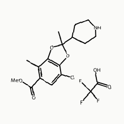 COC(=O)c1cc(Cl)c2c(c1C)OC(C)(C1CCNCC1)O2.O=C(O)C(F)(F)F